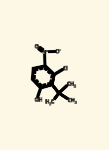 CC(C)(C)c1c(O)ccc([N+](=O)[O-])c1Cl